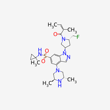 C/C=C(/C)C(=O)N1C[C@H](n2ncc3c(N4C[C@H](C)N[C@@H](C)C4)cc(S(=O)(=O)NC4(C)CC4)cc32)C[C@H]1CF